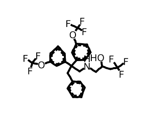 OC(CNCC(Cc1ccccc1)(c1cccc(OC(F)(F)F)c1)c1cccc(OC(F)(F)F)c1)CC(F)(F)F